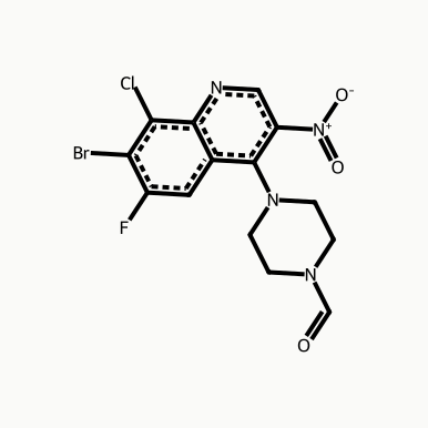 O=CN1CCN(c2c([N+](=O)[O-])cnc3c(Cl)c(Br)c(F)cc23)CC1